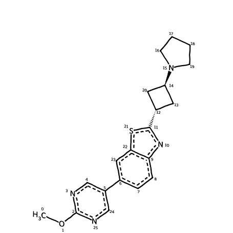 COc1ncc(-c2ccc3nc([C@H]4C[C@H](N5CCCC5)C4)sc3c2)cn1